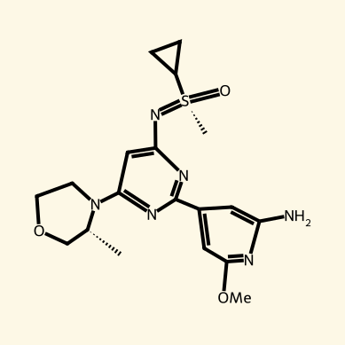 COc1cc(-c2nc(N=[S@](C)(=O)C3CC3)cc(N3CCOC[C@H]3C)n2)cc(N)n1